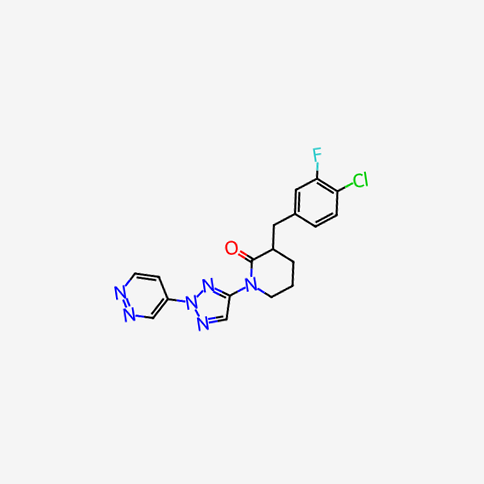 O=C1C(Cc2ccc(Cl)c(F)c2)CCCN1c1cnn(-c2ccnnc2)n1